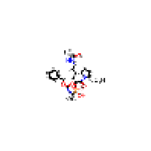 CCCCC(NC(=O)OCc1ccccc1)P(=O)(O)O[C@@H](CCCCNC(=O)C(F)(F)F)C(=O)N1CCC[C@H]1C(=O)O